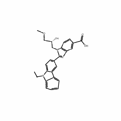 CCn1c2ccccc2c2cc(-c3nc4cc(C(=O)O)ccc4n3C[C@@H](O)COC)ccc21